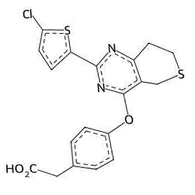 O=C(O)Cc1ccc(Oc2nc(-c3ccc(Cl)s3)nc3c2CSCC3)cc1